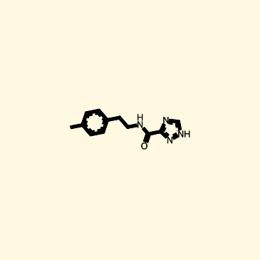 Cc1ccc(CCNC(=O)c2nc[nH]n2)cc1